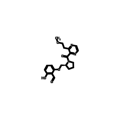 COCCc1nccnc1C(=O)N1CCC[C@H]1COc1cccc(O)c1C=O